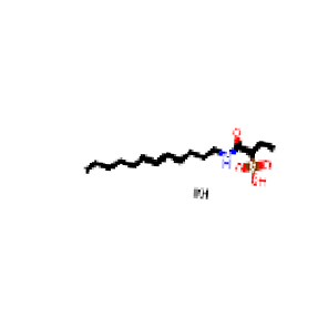 CCCCCCCCCCCCNC(=O)C(CC)S(=O)(=O)O.[KH]